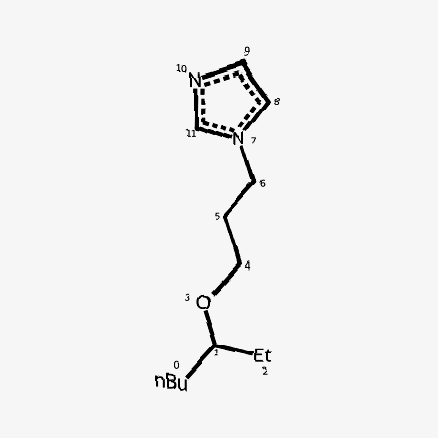 CCCCC(CC)OCCCn1ccnc1